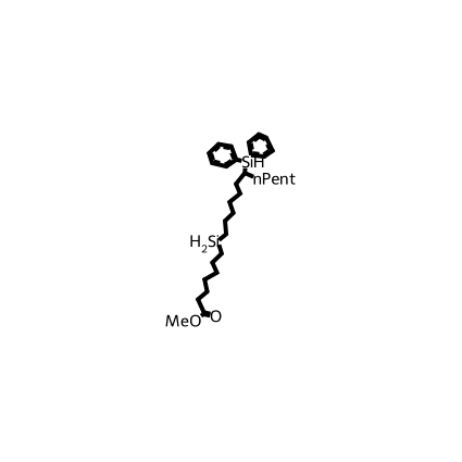 CCCCCC(CCCCCC[SiH2]CCCCCCC(=O)OC)[SiH](c1ccccc1)c1ccccc1